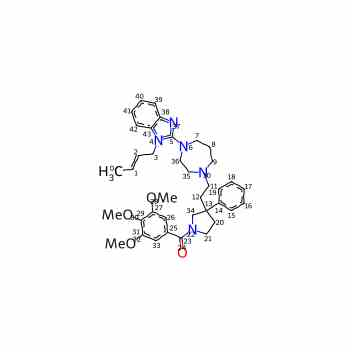 CC=CCn1c(N2CCCN(CCC3(c4ccccc4)CCN(C(=O)c4cc(OC)c(OC)c(OC)c4)C3)CC2)nc2ccccc21